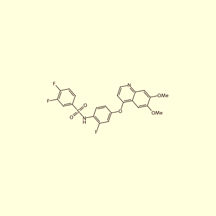 COc1cc2nccc(Oc3ccc(NS(=O)(=O)c4ccc(F)c(F)c4)c(F)c3)c2cc1OC